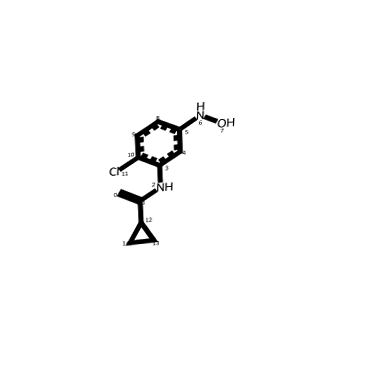 C=C(Nc1cc(NO)ccc1Cl)C1CC1